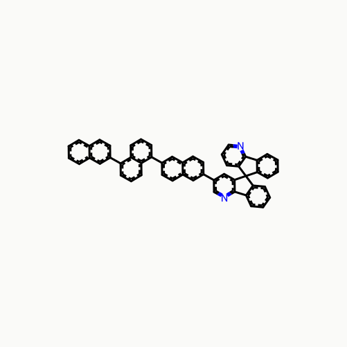 c1ccc2c(c1)-c1ncccc1C21c2ccccc2-c2ncc(-c3ccc4cc(-c5cccc6c(-c7ccc8ccccc8c7)cccc56)ccc4c3)cc21